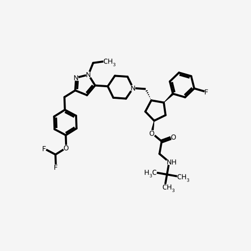 CCn1nc(Cc2ccc(OC(F)F)cc2)cc1C1CCN(C[C@H]2C[C@H](OC(=O)CNC(C)(C)C)C[C@@H]2c2cccc(F)c2)CC1